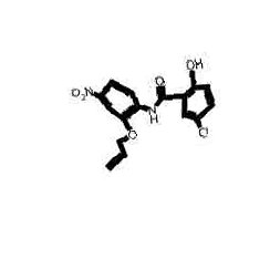 C=CCOc1cc([N+](=O)[O-])ccc1NC(=O)c1cc(Cl)ccc1O